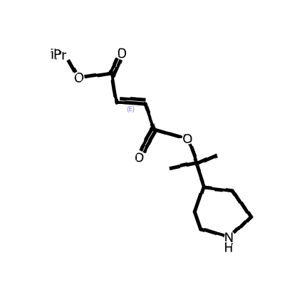 CC(C)OC(=O)/C=C/C(=O)OC(C)(C)C1CCNCC1